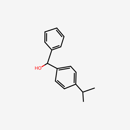 CC(C)c1ccc(C(O)c2ccccc2)cc1